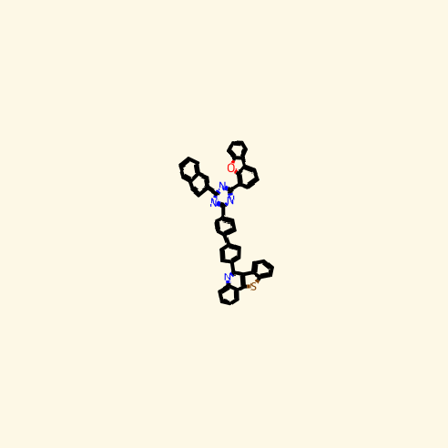 c1ccc2cc(-c3nc(-c4ccc(-c5ccc(-c6nc7ccccc7c7sc8ccccc8c67)cc5)cc4)nc(-c4cccc5c4oc4ccccc45)n3)ccc2c1